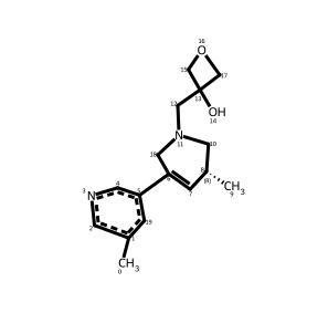 Cc1cncc(C2=C[C@@H](C)CN(CC3(O)COC3)C2)c1